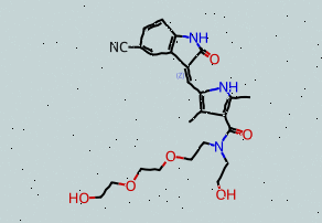 Cc1[nH]c(/C=C2\C(=O)Nc3ccc(C#N)cc32)c(C)c1C(=O)N(CCO)CCOCCOCCO